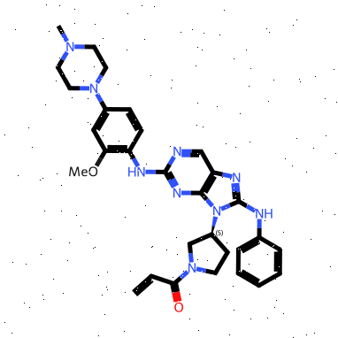 C=CC(=O)N1CC[C@H](n2c(Nc3ccccc3)nc3cnc(Nc4ccc(N5CCN(C)CC5)cc4OC)nc32)C1